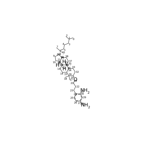 CC(C)CCCC(C)[C@H]1CC[C@H]2[C@@H]3CCC4C(C)(C)C(OCCCc5ccc(N)cc5N)CC[C@]4(C)[C@H]3CC[C@]12C